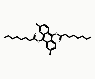 CCCCCCCC(=O)Oc1c2ccc(C)cc2c(OC(=O)CCCCCCC)c2cc(C)ccc12